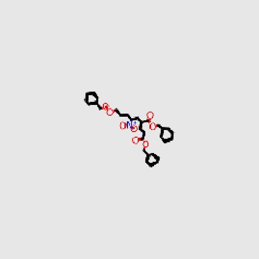 O=C(CCC(CC(CCCOOCc1ccccc1)[N+](=O)[O-])C(=O)OCc1ccccc1)OCc1ccccc1